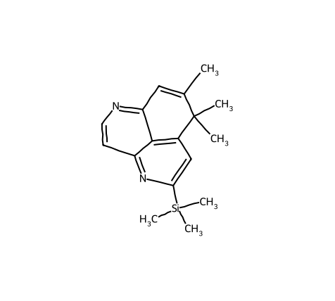 CC1=Cc2nccc3nc([Si](C)(C)C)cc(c23)C1(C)C